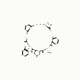 CC(C)C[C@H]1NC(=O)c2ccccc2OCc2cn(nn2)CCOc2cccc(c2)CNC(=O)[C@H](Cc2ccccc2)N(C)C(=O)[C@H]2CCCN2C1=O